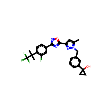 Cc1cc(-c2nc(-c3ccc(C(C)(C)C(F)(F)F)c(F)c3)no2)nn1Cc1cccc(C2(O)CC2)c1